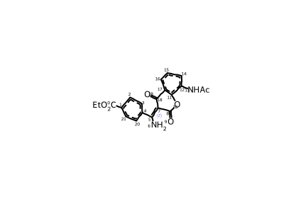 CCOC(=O)c1ccc(/C(N)=C2/C(=O)Oc3c(NC(C)=O)cccc3C2=O)cc1